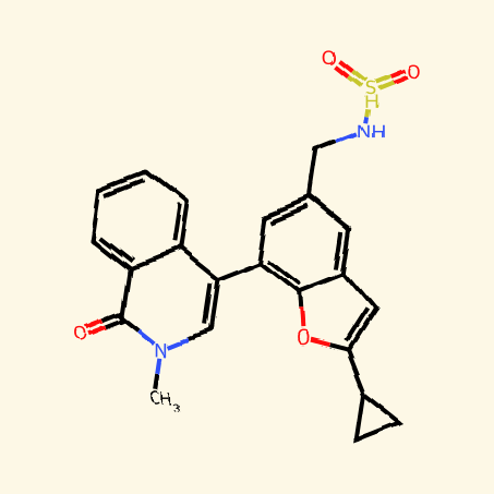 Cn1cc(-c2cc(CN[SH](=O)=O)cc3cc(C4CC4)oc23)c2ccccc2c1=O